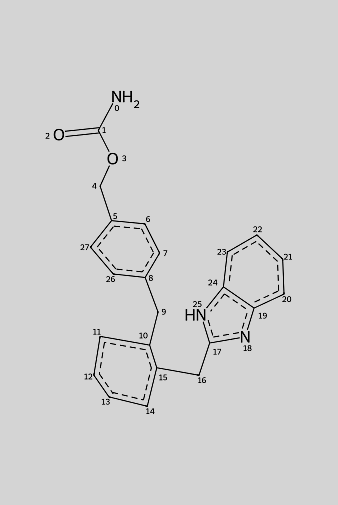 NC(=O)OCc1ccc(Cc2ccccc2Cc2nc3ccccc3[nH]2)cc1